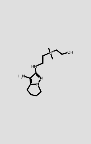 C[N+](C)(CCO)CCNc1nn2c(c1N)CCCC2